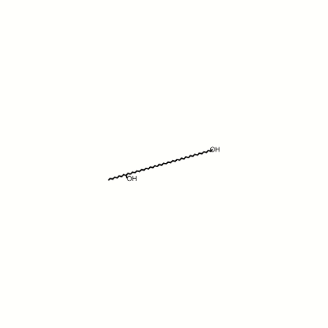 CCCCCCCCC(CO)CCCCCCCCCCCCCCCCCCCCCCCCCCCCCCCCCCCCCCO